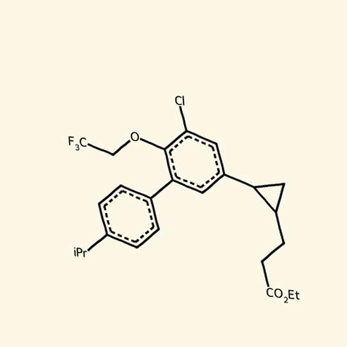 CCOC(=O)CCC1CC1c1cc(Cl)c(OCC(F)(F)F)c(-c2ccc(C(C)C)cc2)c1